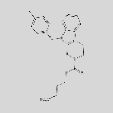 Cc1ccc(Cn2c3c(c4ccccc42)CCN(C(=O)CCCCC(=O)O)C3)cc1